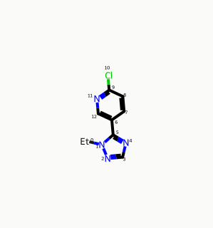 CCn1ncnc1-c1ccc(Cl)nc1